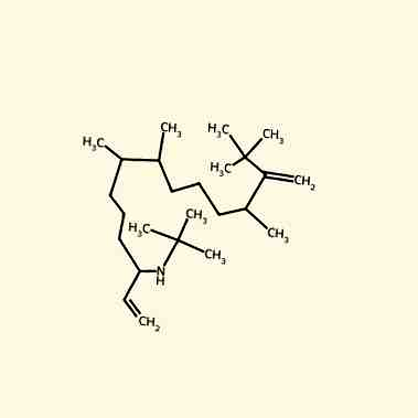 C=CC(CCCC(C)C(C)CCCC(C)C(=C)C(C)(C)C)NC(C)(C)C